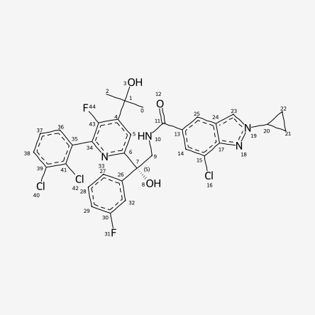 CC(C)(O)c1cc([C@@](O)(CNC(=O)c2cc(Cl)c3nn(C4CC4)cc3c2)c2cccc(F)c2)nc(-c2cccc(Cl)c2Cl)c1F